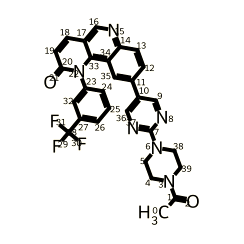 CC(=O)N1CCN(c2ncc(-c3ccc4ncc5ccc(=O)n(-c6cccc(C(F)(F)F)c6)c5c4c3)cn2)CC1